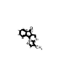 Cc1cnn2c3c(cnc12)C(=O)c1ccccc1-3